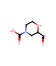 O=CC1CN(C(=O)O)CCO1